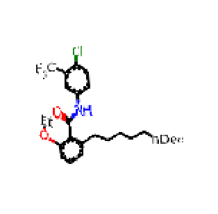 CCCCCCCCCCCCCCCc1cccc(OCC)c1C(=O)Nc1ccc(Cl)c(C(F)(F)F)c1